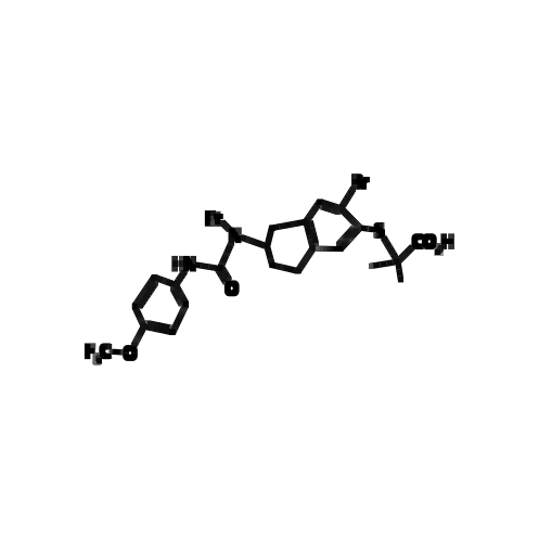 CCN(C(=O)Nc1ccc(OC(F)(F)F)cc1)C1CCc2cc(SC(C)(C)C(=O)O)c(Br)cc2C1